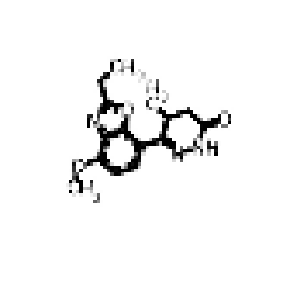 CCc1nc2c(OC)ccc(C3=NNC(=O)CC3C)c2o1